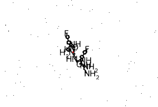 NCCC[C@H](N)CNC(=O)c1[nH]c2cc(-c3ccc(F)cc3)ccc2c1C1CC1NCCC[C@@H](N)CNC(=O)c1[nH]c2cc(-c3ccc(F)cc3)ccc2c1-c1ccccc1